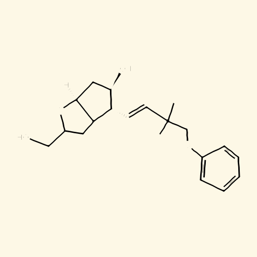 OCC1CC2[C@H](C[C@@H](O)[C@@H]2/C=C/C(F)(F)COc2ccccc2)O1